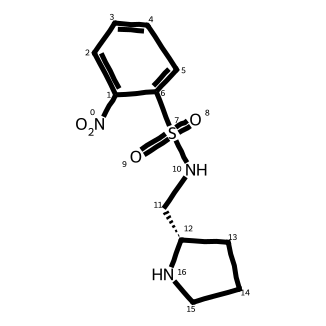 O=[N+]([O-])c1ccccc1S(=O)(=O)NC[C@@H]1CCCN1